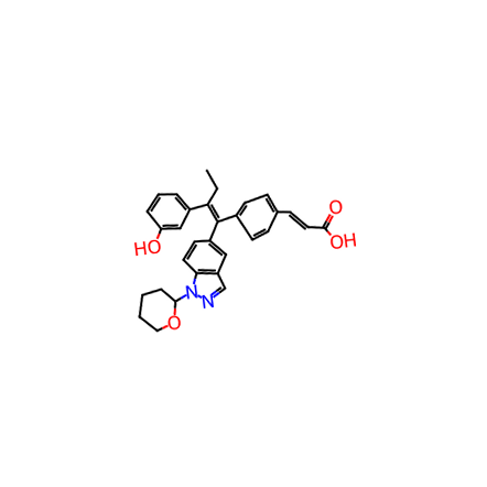 CCC(=C(c1ccc(C=CC(=O)O)cc1)c1ccc2c(cnn2C2CCCCO2)c1)c1cccc(O)c1